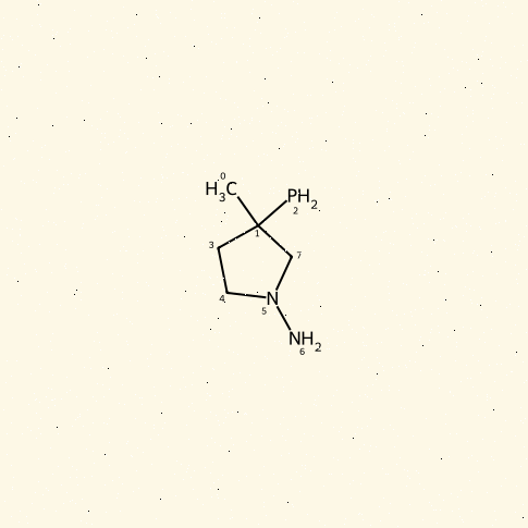 CC1(P)CCN(N)C1